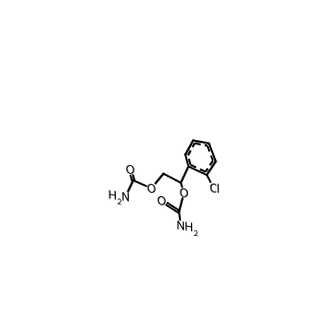 NC(=O)OCC(OC(N)=O)c1ccccc1Cl